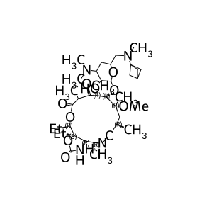 CC[C@H]1OC(=O)C(C)C(=O)[C@H](C)[C@@H](OC2OC(CN(C)C34CC(C3)C4)CC(N(C)C)C2O)[C@](C)(OC)C[C@@H](C)CN[C@H](C)[C@H]2NC(=O)O[C@@]21CC